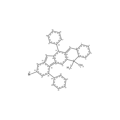 CC1(C)c2ccccc2C=c2c1cc1c(c2-c2ccccc2)C=c2cc(Br)cc(-c3ccccc3)c2=1